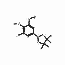 CCNc1cc(B2OC(C)(C)C(C)(C)O2)cc(F)c1C(=O)O